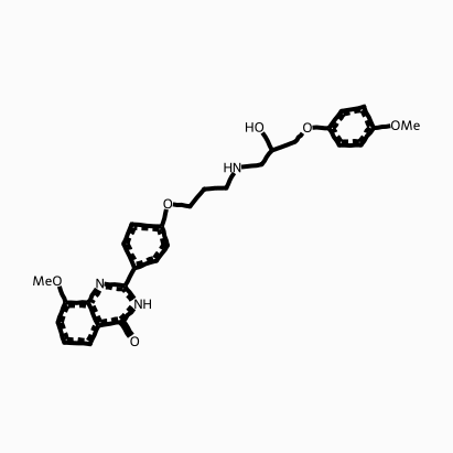 COc1ccc(OCC(O)CNCCCOc2ccc(-c3nc4c(OC)cccc4c(=O)[nH]3)cc2)cc1